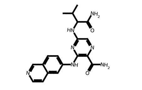 CC(C)C(Nc1cnc(C(N)=O)c(Nc2ccc3cnccc3c2)n1)C(N)=O